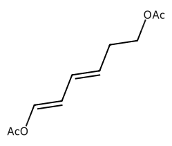 CC(=O)OC=CC=CCCOC(C)=O